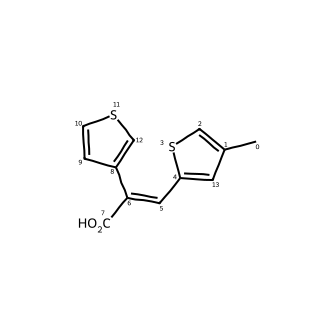 Cc1csc(C=C(C(=O)O)c2ccsc2)c1